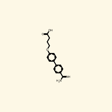 N=C(N)c1ccc(-c2ccc(OCCCC(=O)O)cc2)cc1